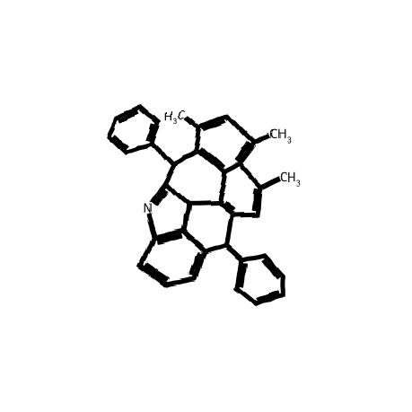 Cc1cc(C)c2c(C)cc3c4c2c1C(c1ccccc1)C1=Nc2cccc(c2C14)C3c1ccccc1